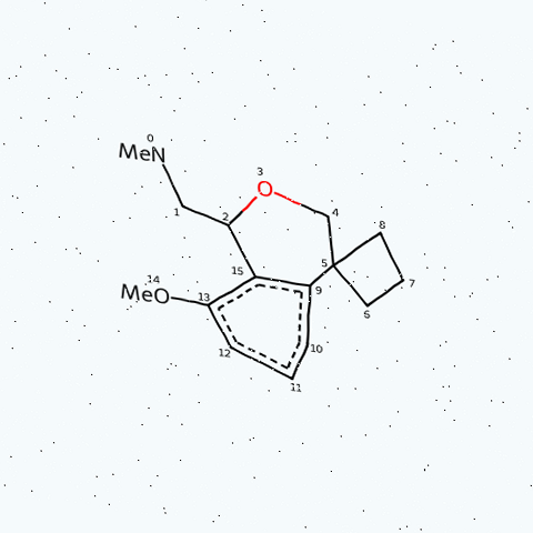 CNCC1OCC2(CCC2)c2cccc(OC)c21